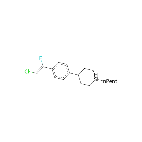 CCCCC[SiH]1CCC(c2ccc(/C(F)=C/Cl)cc2)CC1